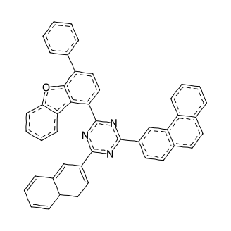 C1=CC2=CC(c3nc(-c4ccc5ccc6ccccc6c5c4)nc(-c4ccc(-c5ccccc5)c5oc6ccccc6c45)n3)=CCC2C=C1